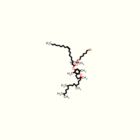 CCCCCCCC/C=C\CCCCCCCC(Oc1cc(C)c2c(c1C)CCC(C)(CCCC(C)CCCC(C)CCCC(C)C)O2)O[Si](C)(C)OCCCCCCBr